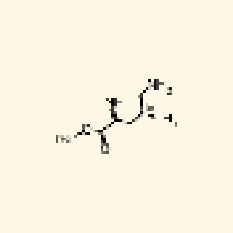 C[C@H](CN)CC(=N)C(=O)OC(C)(C)C